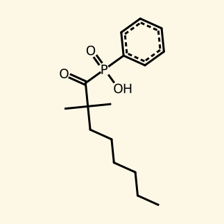 CCCCCCC(C)(C)C(=O)P(=O)(O)c1ccccc1